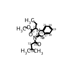 CCC(C(=O)OC)n1c(=NC(=O)CC(C)C)sc2ccccc21